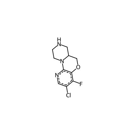 Fc1c(Cl)cnc2c1OCC1CNCCN21